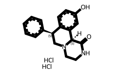 Cl.Cl.O=C1NCCN2C[C@@H](c3ccccc3)c3ccc(O)cc3[C@@H]12